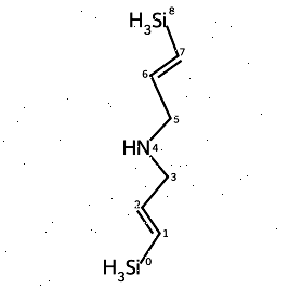 [SiH3]C=CCNCC=C[SiH3]